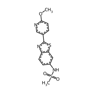 COc1ccc(-c2nc3ccc(NS(C)(=O)=O)cc3s2)cn1